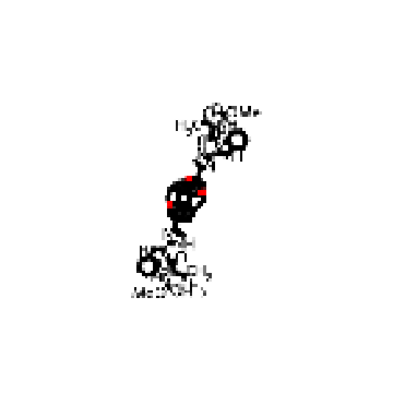 C=C(C)[C@H](NC(=O)OC)C(=O)N1[C@H](c2nc(-c3ccc(-c4cc5ccc4CCc4ccc(c(-c6ccc(-c7c[nH]c([C@@H]8C[C@@H]9CCCC[C@@H]9N8C(=O)[C@@H](NC(O)OC)C(=C)C)n7)cc6)c4)CC5)cc3)c[nH]2)C[C@@H]2CCCC[C@@H]21